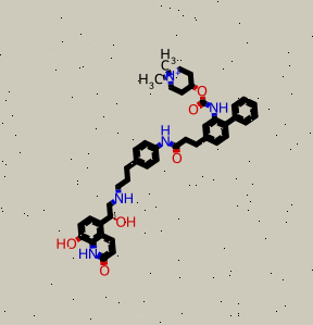 C[N+]1(C)CCC(OC(=O)Nc2cc(CCC(=O)Nc3ccc(CCCNC[C@H](O)c4ccc(O)c5[nH]c(=O)ccc45)cc3)ccc2-c2ccccc2)CC1